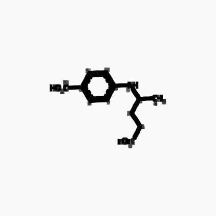 CCCCCCCCCCC(C)Nc1ccc(C(=O)O)cc1